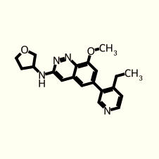 CCc1ccncc1-c1cc(OC)c2nnc(NC3CCOC3)cc2c1